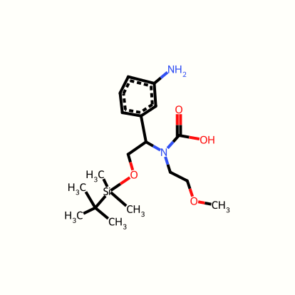 COCCN(C(=O)O)C(CO[Si](C)(C)C(C)(C)C)c1cccc(N)c1